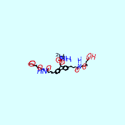 [2H]NC(=O)OCC1c2cc(CCCC(=O)NCCOCCCOC)ccc2-c2ccc(CCCC(=O)NCCOC(C)CCO)cc21